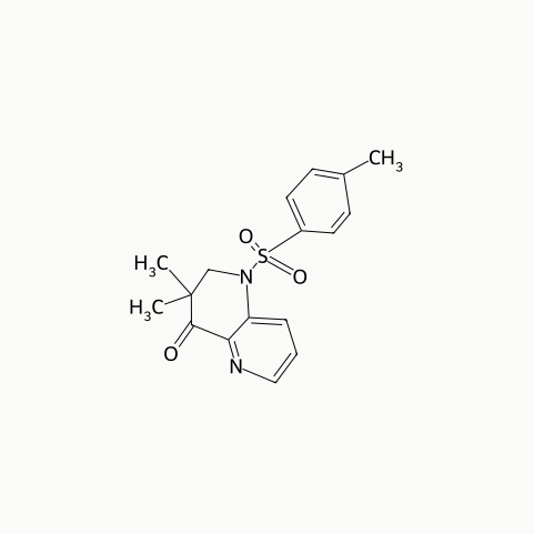 Cc1ccc(S(=O)(=O)N2CC(C)(C)C(=O)c3ncccc32)cc1